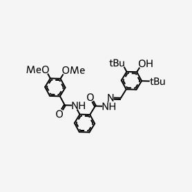 COc1ccc(C(=O)Nc2ccccc2C(=O)NN=Cc2cc(C(C)(C)C)c(O)c(C(C)(C)C)c2)cc1OC